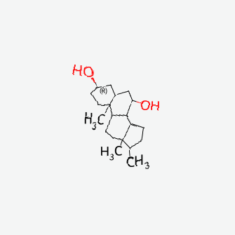 CC1CCC2C3C(O)CC4C[C@H](O)CCC4(C)C3CCC12C